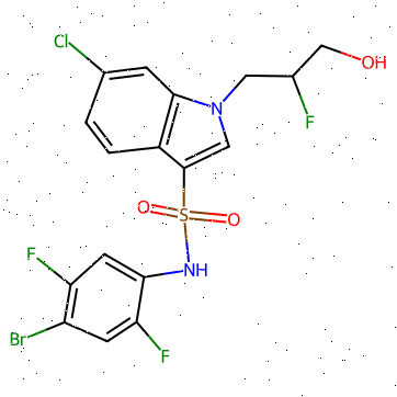 O=S(=O)(Nc1cc(F)c(Br)cc1F)c1cn(CC(F)CO)c2cc(Cl)ccc12